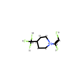 F/C=C(/F)N1CCC(C(F)(F)F)CC1